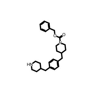 O=C(OCc1ccccc1)N1CCC(Cc2ccc(CC3CCNCC3)cc2)CC1